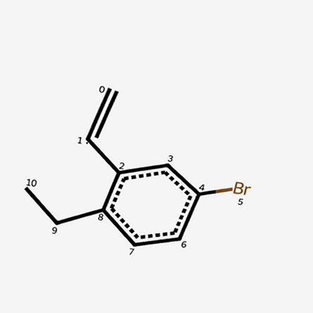 C=[C]c1cc(Br)ccc1CC